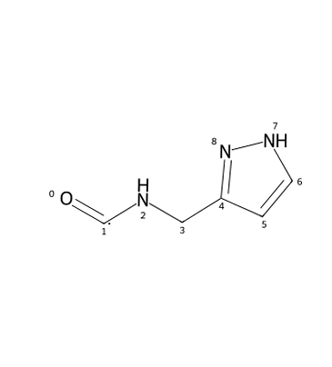 O=[C]NCc1cc[nH]n1